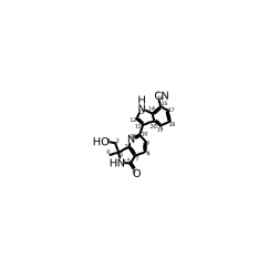 CC1(CO)NC(=O)c2ccc(-c3c[nH]c4c(C#N)cccc34)nc21